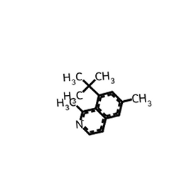 Cc1cc(C(C)(C)C)c2c(C)nccc2c1